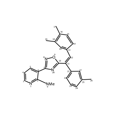 CNc1ncccc1-c1noc(/C(=C\c2ccc(C)c(C)c2)c2cccc(C)c2)n1